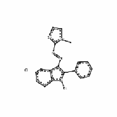 CCn1c(-c2ccccc2)c(/N=N/c2scc[n+]2C)c2ccccc21.[Cl-]